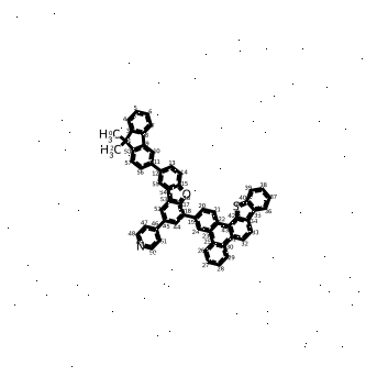 CC1(C)c2ccccc2-c2cc(-c3ccc4oc5c(-c6ccc7c(c6)c6ccccc6c6ccc8c9ccccc9sc8c67)cc(-c6ccncc6)cc5c4c3)ccc21